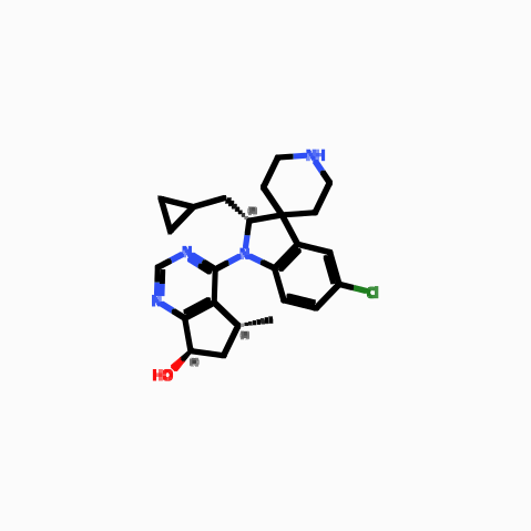 C[C@@H]1C[C@@H](O)c2ncnc(N3c4ccc(Cl)cc4C4(CCNCC4)[C@H]3CC3CC3)c21